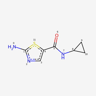 Nc1ncc(C(=O)NC2CC2)s1